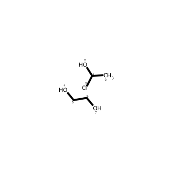 CC(O)Cl.OCCO